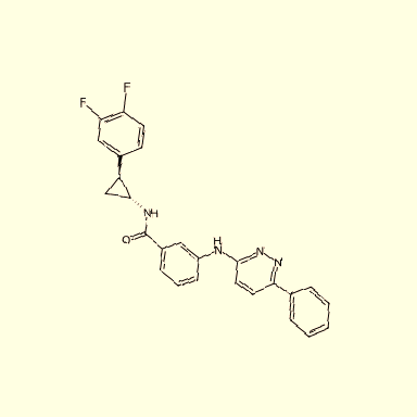 O=C(N[C@@H]1C[C@H]1c1ccc(F)c(F)c1)c1cccc(Nc2ccc(-c3ccccc3)nn2)c1